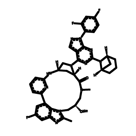 CO[C@H]1CN(C)C(=O)[C@@H]2C[C@@H](CN2c2nc(N3[C@@H]4CCC[C@H]3C4)nc3c2cnn3-c2ccc(F)cc2F)Nc2cccc(n2)-c2cc(F)cc3nc(C)n(c23)C1